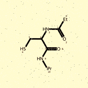 CCC(=O)NC(CS)C(=O)NC(C)C